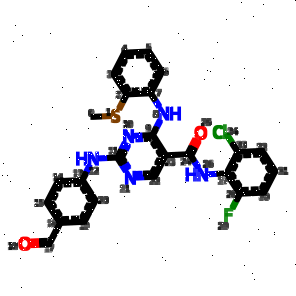 CSc1ccccc1Nc1nc(Nc2ccc(C=O)cc2)ncc1C(=O)Nc1c(F)cccc1Cl